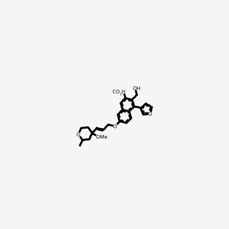 COC1(C=CCOc2ccc3c(-c4ccoc4)c(CO)c(C(=O)O)cc3c2)CCOC(C)C1